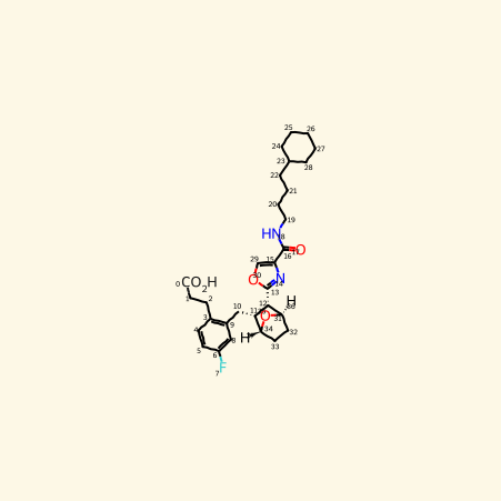 O=C(O)CCc1ccc(F)cc1C[C@@H]1[C@H](c2nc(C(=O)NCCCCC3CCCCC3)co2)[C@H]2CC[C@H]1O2